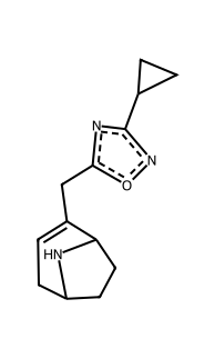 C1=C(Cc2nc(C3CC3)no2)C2CCC(C1)N2